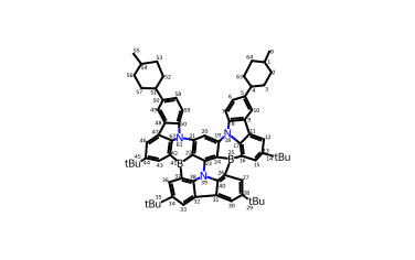 CC1CCC(c2ccc3c(c2)c2cc(C(C)(C)C)cc4c2n3-c2cc3c5c6c2B4c2cc(C(C)(C)C)cc4c7cc(C(C)(C)C)cc(c7n-6c24)B5c2cc(C(C)(C)C)cc4c5cc(C6CCC(C)CC6)ccc5n-3c24)CC1